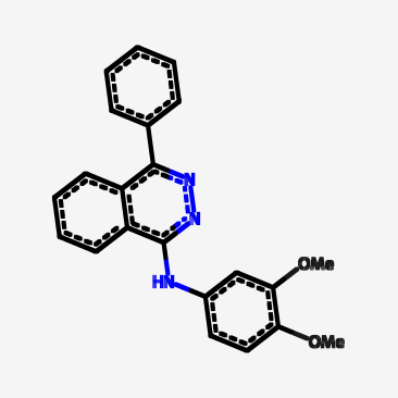 COc1ccc(Nc2nnc(-c3ccccc3)c3ccccc23)cc1OC